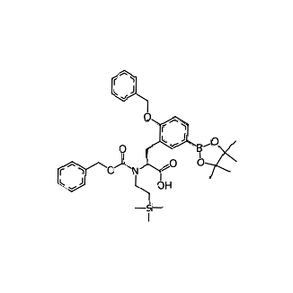 CC1(C)OB(c2ccc(OCc3ccccc3)c(C[C@@H](C(=O)O)N(CC[Si](C)(C)C)C(=O)OCc3ccccc3)c2)OC1(C)C